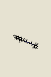 CC(=O)c1cc2ccc(OC(=O)/C=C(C)/C=C/C=C(C)/C=C/C3=C(C)CCCC3(C)C)c(C)c2oc1=O